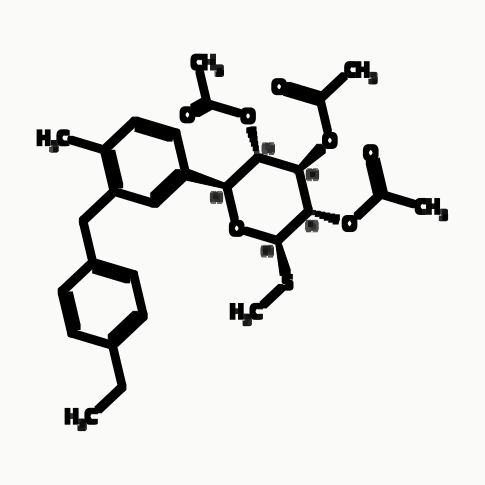 CCc1ccc(Cc2cc([C@@H]3O[C@H](SC)[C@@H](OC(C)=O)[C@H](OC(C)=O)[C@H]3OC(C)=O)ccc2C)cc1